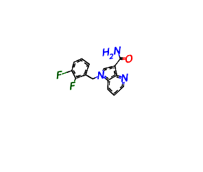 NC(=O)c1cn(Cc2cccc(F)c2F)c2cccnc12